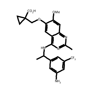 COc1cc2nc(C)nc(NC(C)c3cc(N)cc(C(F)(F)F)c3)c2cc1OCC1(C(=O)O)CC1